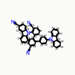 N#Cc1ccc(-c2cccc(C#N)c2-n2c3ccccc3c3cc(C#N)ccc32)c(-c2ccc(-n3c4ccccc4c4ccccc43)cc2)c1